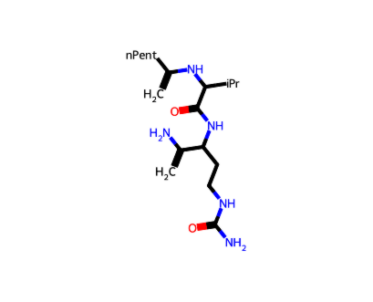 C=C(CCCCC)NC(C(=O)NC(CCNC(N)=O)C(=C)N)C(C)C